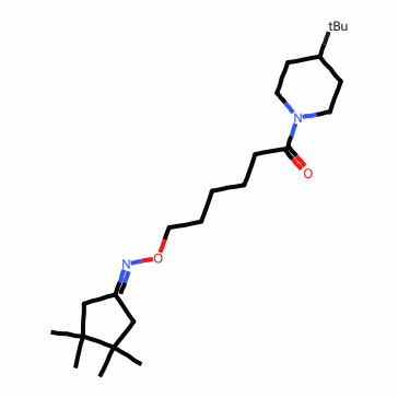 CC(C)(C)C1CCN(C(=O)CCCCCON=C2CC(C)(C)C(C)(C)C2)CC1